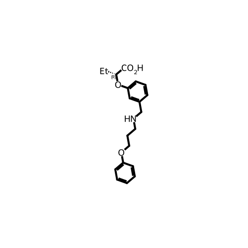 CC[C@@H](Oc1cccc(CNCCCOc2ccccc2)c1)C(=O)O